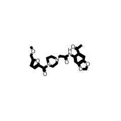 COCc1ccc(C(=O)N2CCN(CC(=O)Nc3cc4c(cc3C(C)=O)OCO4)CC2)o1